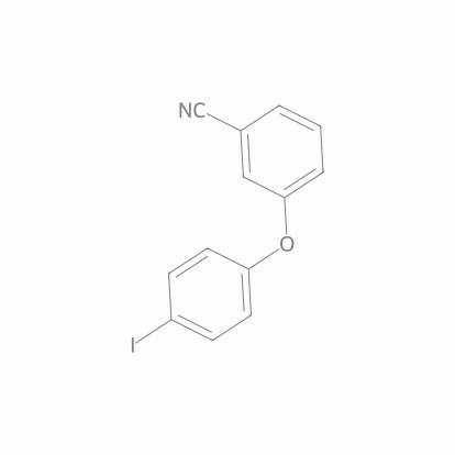 N#Cc1cccc(Oc2ccc(I)cc2)c1